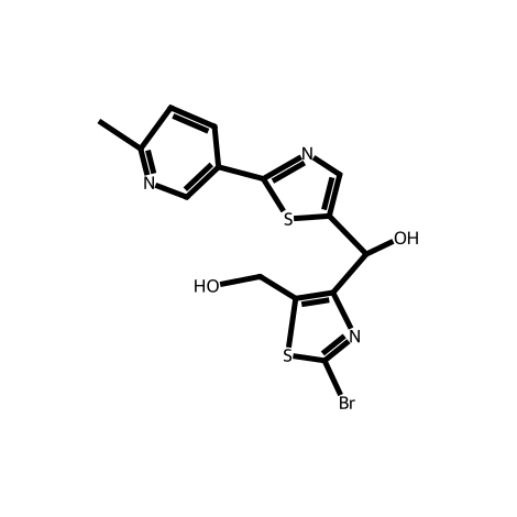 Cc1ccc(-c2ncc(C(O)c3nc(Br)sc3CO)s2)cn1